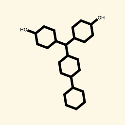 OC1CCC(C(C2CCC(O)CC2)C2CCC(C3CCCCC3)CC2)CC1